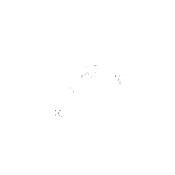 O=C(CCCON(O)O)NCCCCC(NC(=O)CCCON(O)O)C(=O)O